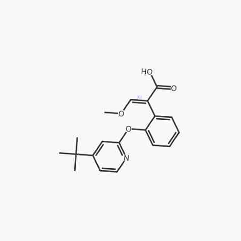 CO/C=C(/C(=O)O)c1ccccc1Oc1cc(C(C)(C)C)ccn1